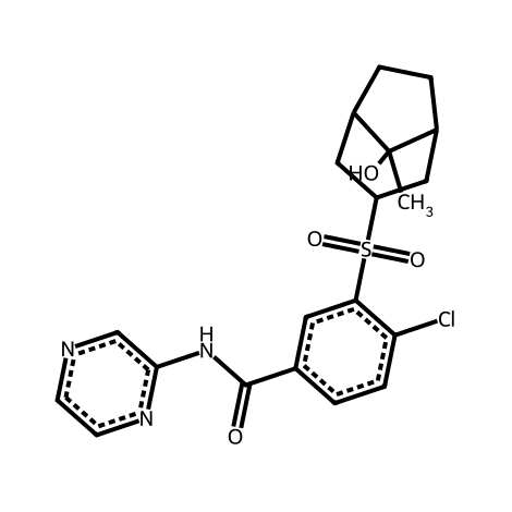 CC1(O)C2CCC1CC(S(=O)(=O)c1cc(C(=O)Nc3cnccn3)ccc1Cl)C2